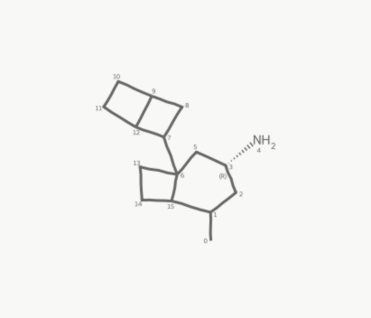 CC1C[C@@H](N)CC2(C3CC4CCC43)CCC12